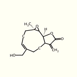 C=C1C(=O)O[C@H]2C1CC/C(CO)=C\CC[C@@]1(C)OC21